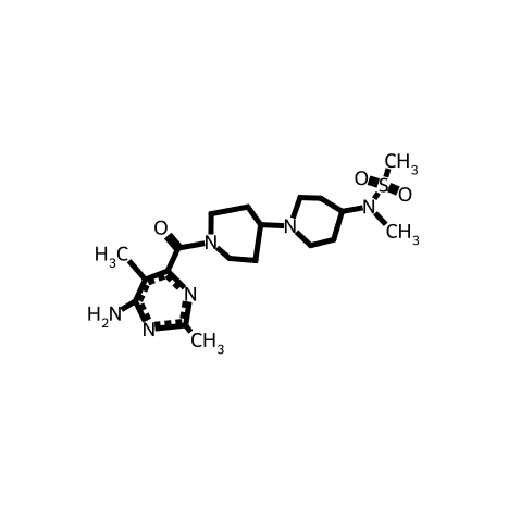 Cc1nc(N)c(C)c(C(=O)N2CCC(N3CCC(N(C)S(C)(=O)=O)CC3)CC2)n1